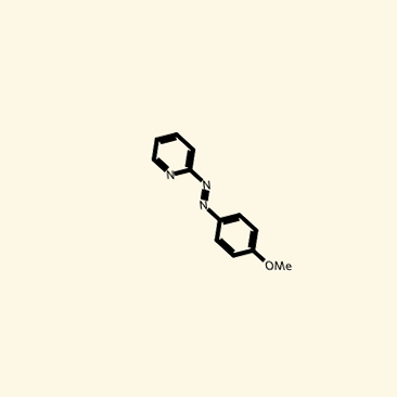 COc1ccc(N=Nc2ccccn2)cc1